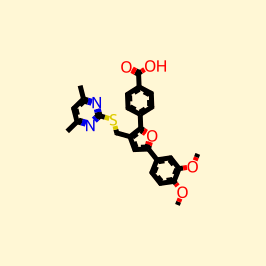 COc1ccc(-c2cc(CSc3nc(C)cc(C)n3)c(-c3ccc(C(=O)O)cc3)o2)cc1OC